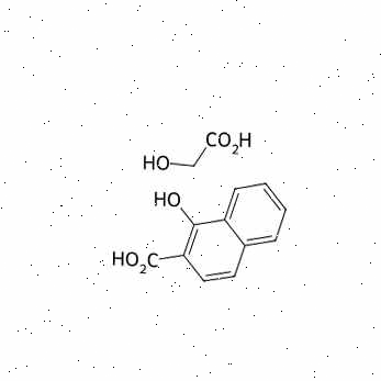 O=C(O)CO.O=C(O)c1ccc2ccccc2c1O